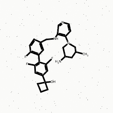 CC1CC(N)CN(c2ccncc2NCc2ccc(F)c(-c3c(F)cc(C4(O)CCC4)cc3F)c2)C1